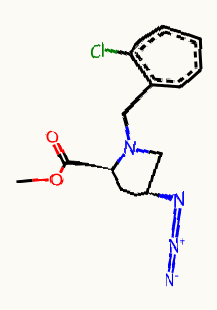 COC(=O)[C@@H]1C[C@H](N=[N+]=[N-])CN1Cc1ccccc1Cl